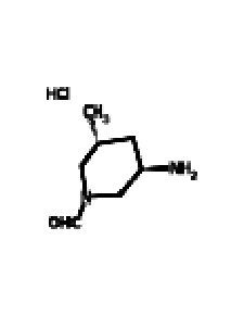 C[C@@H]1C[C@@H](N)CN(C=O)C1.Cl